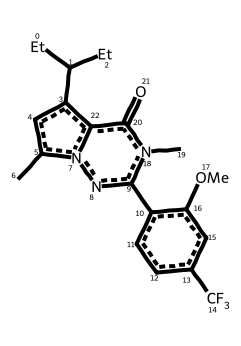 CCC(CC)c1cc(C)n2nc(-c3ccc(C(F)(F)F)cc3OC)n(C)c(=O)c12